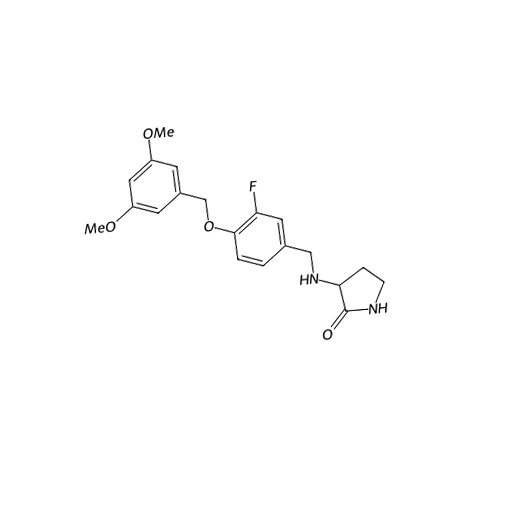 COc1cc(COc2ccc(CNC3CCNC3=O)cc2F)cc(OC)c1